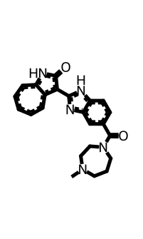 CN1CCCN(C(=O)c2ccc3[nH]c(-c4c5cccccc-5[nH]c4=O)nc3c2)CC1